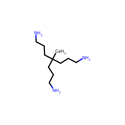 NCCC[C]([GeH3])(CCCN)CCCN